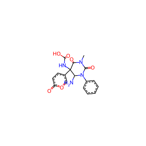 CN1C(=O)N(c2ccccc2)C(N)C(NC(=O)O)(c2ccc(=O)oc2)C1=O